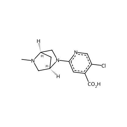 CN1C[C@H]2C[C@@H]1CN2c1cc(C(=O)O)c(Cl)cn1